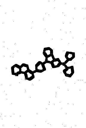 c1ccc(N(c2ccccc2)c2ccc3c(c2)c2ccccc2n3-c2ccc(-c3ccnc4c3ccc3cccnc34)cc2)cc1